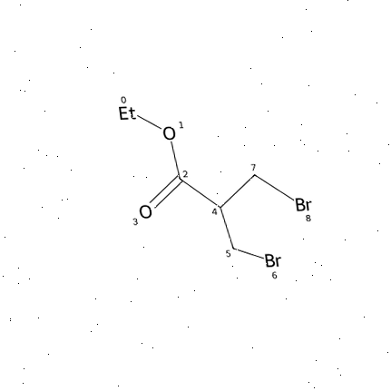 CCOC(=O)C(CBr)CBr